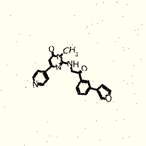 Cn1c(NCC(=O)c2cccc(-c3ccoc3)c2)nc(-c2ccncc2)cc1=O